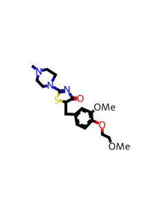 COCCOc1ccc(CC2SC(N3CCN(C)CC3)=NC2=O)cc1OC